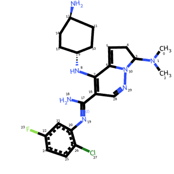 CN(C)C1CC=C2C(N[C@H]3CC[C@H](N)CC3)=C(/C(N)=N/c3cc(F)ccc3Cl)C=NN21